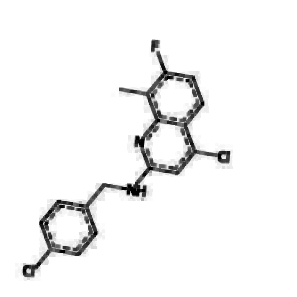 Cc1c(F)ccc2c(Cl)cc(NCc3ccc(Cl)cc3)nc12